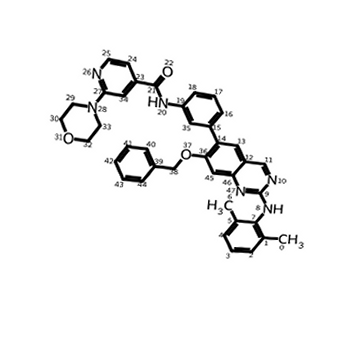 Cc1cccc(C)c1Nc1ncc2cc(-c3cccc(NC(=O)c4ccnc(N5CCOCC5)c4)c3)c(OCc3ccccc3)cc2n1